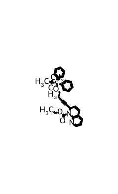 CCOC(=O)N1c2ncccc2C=CC1C#CCCO[Si](c1ccccc1)(c1ccccc1)C(C)(C)C